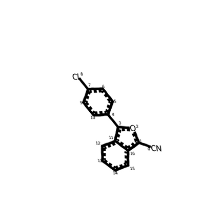 N#Cc1oc(-c2ccc(Cl)cc2)c2ccccc12